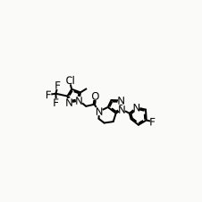 Cc1c(Cl)c(C(F)(F)F)nn1CC(=O)N1CCCc2c1cnn2-c1ccc(F)cn1